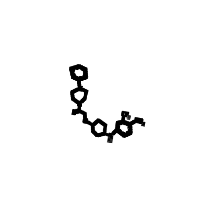 O=[N+]([O-])c1ccc(N[C@H]2CC[C@H](OCC(=S)N3CCN(c4ccccc4)CC3)CC2)cc1C(F)(F)F